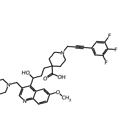 COc1ccc2ncc(CN3CCOCC3)c(C(O)CCC3(C(=O)O)CCN(CC#Cc4cc(F)c(F)c(F)c4)CC3)c2c1